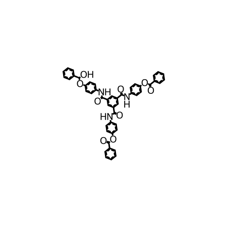 O=C(Nc1ccc(OC(=O)c2ccccc2)cc1)c1cc(C(=O)Nc2ccc(OC(=O)c3ccccc3)cc2)cc(C(=O)Nc2ccc(OC(O)c3ccccc3)cc2)c1